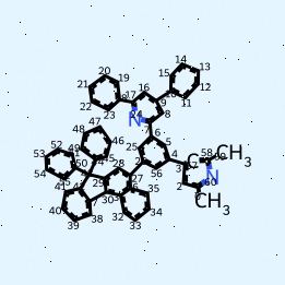 Cc1cc(-c2cc(-c3cc(-c4ccccc4)cc(-c4ccccc4)n3)cc(-c3cc4c(c5ccccc35)-c3ccccc3C4(c3ccccc3)c3ccccc3)c2)cc(C)n1